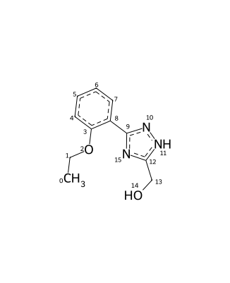 CCOc1ccccc1-c1n[nH]c(CO)n1